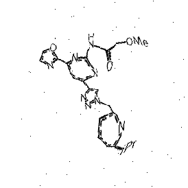 COCC(=O)Nc1nc(-c2cn(Cc3cccc(C(C)C)n3)nn2)cc(-c2ncco2)n1